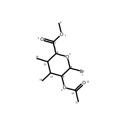 COC(=O)C1OC(Br)C(OC(C)=O)C(C)C1C